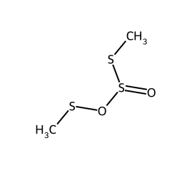 CSOS(=O)SC